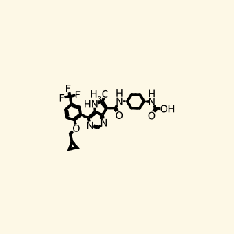 Cc1[nH]c2c(-c3cc(C(F)(F)F)ccc3OCC3CC3)ncnc2c1C(=O)N[C@H]1CC[C@H](NC(=O)O)CC1